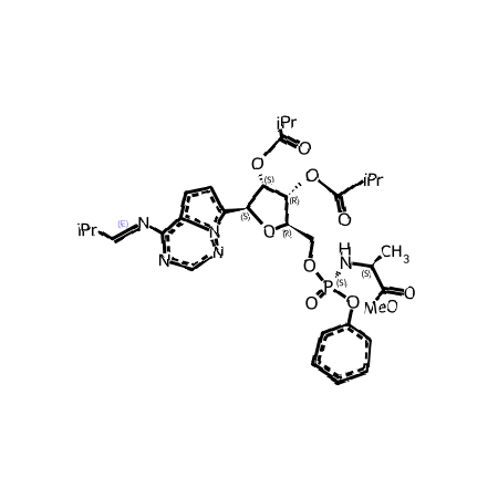 COC(=O)[C@H](C)N[P@](=O)(OC[C@H]1O[C@@H](c2ccc3c(/N=C/C(C)C)ncnn23)[C@H](OC(=O)C(C)C)[C@@H]1OC(=O)C(C)C)Oc1ccccc1